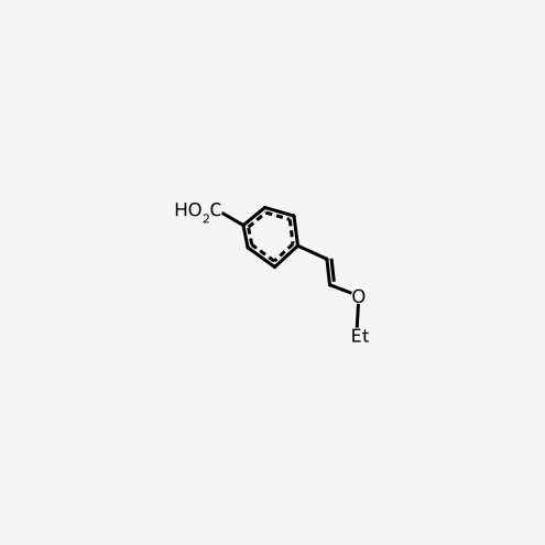 CCOC=Cc1ccc(C(=O)O)cc1